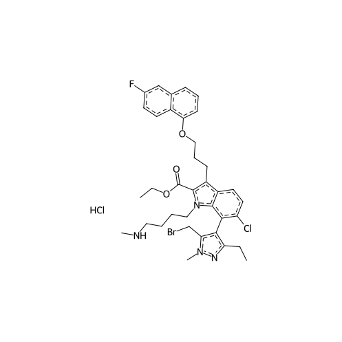 CCOC(=O)c1c(CCCOc2cccc3cc(F)ccc23)c2ccc(Cl)c(-c3c(CC)nn(C)c3CBr)c2n1CCCCNC.Cl